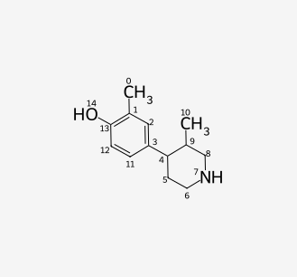 Cc1cc(C2CCNCC2C)ccc1O